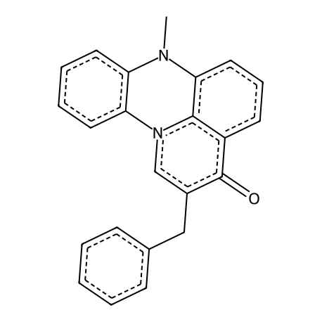 CN1c2ccccc2-n2cc(Cc3ccccc3)c(=O)c3cccc1c32